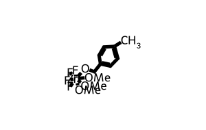 C[O][Zr]([F])([F])([F])([F])([O]C)([O]C)[O]Cc1ccc(C)cc1